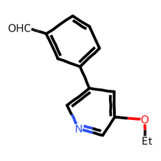 CCOc1cncc(-c2cccc(C=O)c2)c1